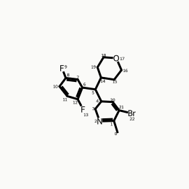 CC1=NCC(C(c2cc(F)ccc2F)C2CCOCC2)C=C1Br